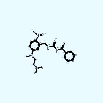 CN(C)CCN(C)c1ccc([N+](=O)[O-])c(CNC(=S)NC(=O)c2ccccc2)c1